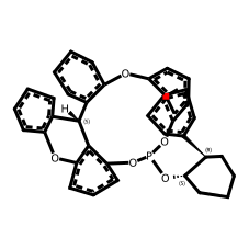 Cc1c2cccc1OP(O[C@H]1CCCC[C@@H]1c1ccccc1)Oc1cccc3c1[C@@H](c1ccccc1O2)c1ccccc1O3